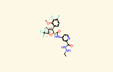 CCNNC(=O)c1cc(NC(=O)[C@@H]2O[C@@](C)(C(F)(F)F)[C@@H](C)[C@H]2c2ccc(F)c(F)c2OC)ccn1